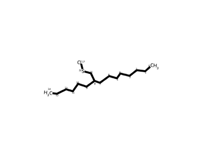 CCCCCCCCC(CCCCCC)CSCl